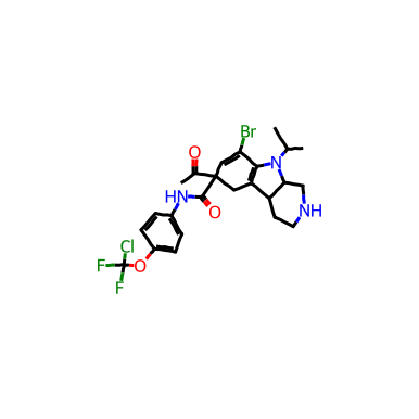 CC(=O)C1(C(=O)Nc2ccc(OC(F)(F)Cl)cc2)C=C(Br)C2=C(C1)C1CCNCC1N2C(C)C